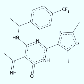 CC(=N)c1c(NC(C)c2ccc(C(F)(F)F)cc2)nc(-c2nc(C)oc2C)[nH]c1=O